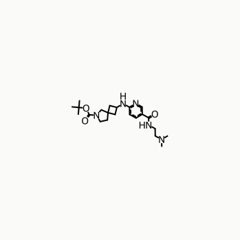 CN(C)CCNC(=O)c1ccc(NC2CC3(CCN(C(=O)OC(C)(C)C)C3)C2)nc1